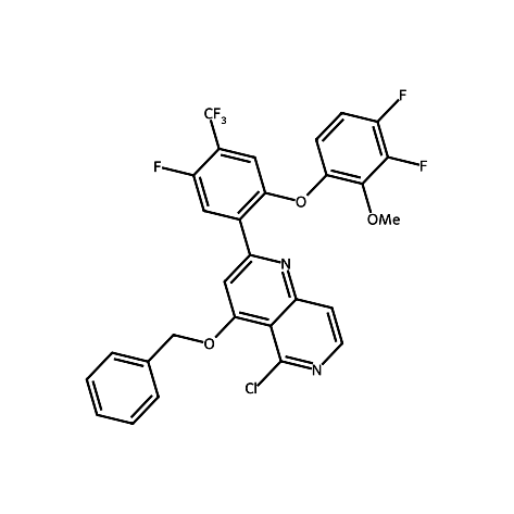 COc1c(Oc2cc(C(F)(F)F)c(F)cc2-c2cc(OCc3ccccc3)c3c(Cl)nccc3n2)ccc(F)c1F